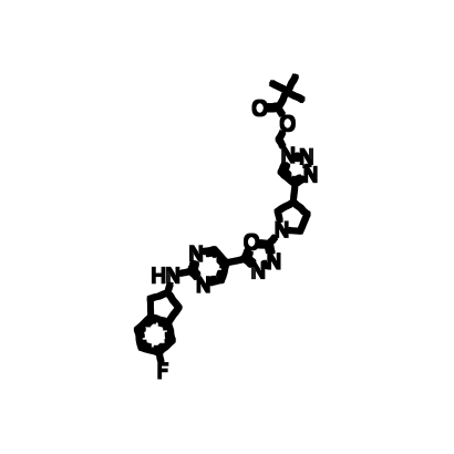 CC(C)(C)C(=O)OCn1cc(C2CCN(c3nnc(-c4cnc(NC5Cc6ccc(F)cc6C5)nc4)o3)C2)nn1